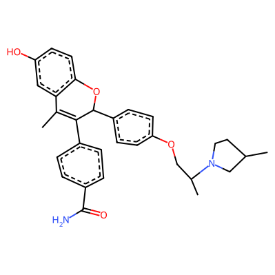 CC1=C(c2ccc(C(N)=O)cc2)C(c2ccc(OCC(C)N3CCC(C)C3)cc2)Oc2ccc(O)cc21